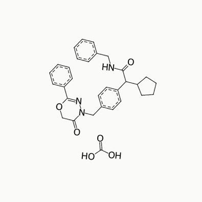 O=C(NCc1ccccc1)C(c1ccc(CN2N=C(c3ccccc3)OCC2=O)cc1)C1CCCC1.O=C(O)O